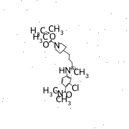 C[C@@H](CCCC1CCN(C(=O)OC(C)(C)C)CC1)Nc1ccc(C(=O)N(C)C)c(Cl)c1